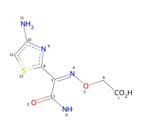 [NH]C(=O)C(=NOCC(=O)O)c1nc(N)cs1